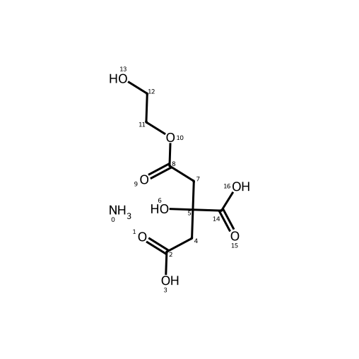 N.O=C(O)CC(O)(CC(=O)OCCO)C(=O)O